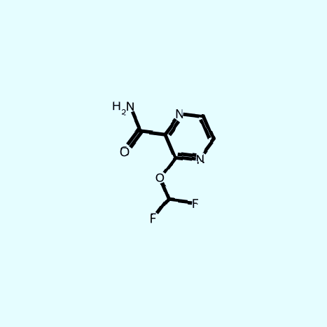 NC(=O)c1nccnc1OC(F)F